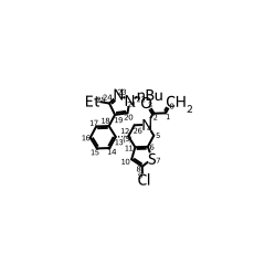 C=CC(=O)N1Cc2sc(Cl)cc2[C@H](c2ccccc2-c2cn(CCCC)nc2CC)C1